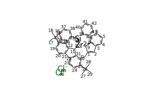 CC1=Cc2ccccc2[CH]1[Zr+2]([CH]1c2cc(C(C)(C)C)ccc2-c2ccc(C(C)(C)C)cc21)=[Si](c1ccccc1)c1ccccc1.[Cl-].[Cl-]